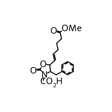 COC(=O)CCC/C=C/C1OC(=O)N(C(=O)O)C1Cc1ccccc1